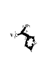 CC(C)C(c1ccsc1)C(F)(F)F